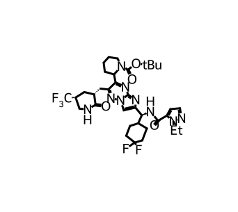 CCn1nccc1C(=O)N[C@H](c1cn2nc(C[C@H]3C[C@@H](C(F)(F)F)CNC3=O)c(C3CCCCN3C(=O)OC(C)(C)C)nc2n1)C1CCC(F)(F)CC1